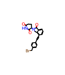 O=C1CCC(N2Cc3c(C#Cc4ccc(CBr)cc4)cccc3C2=O)C(=O)N1